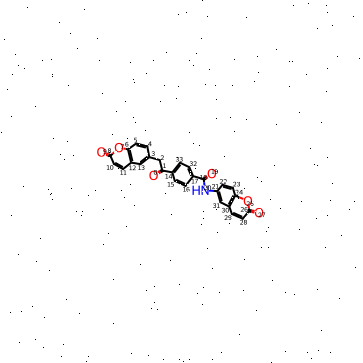 O=C(Cc1ccc2oc(=O)ccc2c1)c1ccc(C(=O)Nc2ccc3oc(=O)ccc3c2)cc1